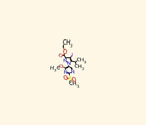 CCOC(=O)c1nn(-c2cnc(S(C)(=O)=O)nc2OC)c(C(C)C)c1I